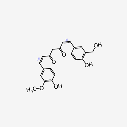 COc1cc(/C=C\C(=O)CC(=O)/C=C\c2ccc(O)c(CO)c2)ccc1O